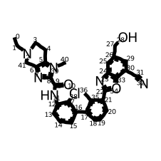 CCN1CCc2c(nc(C(=O)Nc3cccc(-c4cccc(-c5nc6cc(CO)cc(C#N)c6o5)c4C)c3Cl)n2C)C1